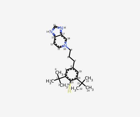 CC(C)(C)c1cc(CCCn2ccc3ncnc-3c2)cc(C(C)(C)C)c1S